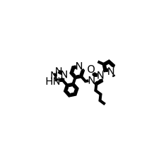 CCCCc1cn(-c2c(C)ccn2C)c(=O)n1Cc1cnccc1-c1ccccc1-c1nnn[nH]1